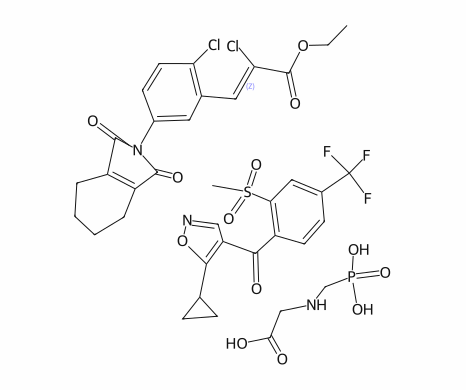 CCOC(=O)/C(Cl)=C/c1cc(N2C(=O)C3=C(CCCC3)C2=O)ccc1Cl.CS(=O)(=O)c1cc(C(F)(F)F)ccc1C(=O)c1cnoc1C1CC1.O=C(O)CNCP(=O)(O)O